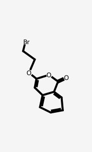 O=c1oc(OCCBr)cc2ccccc12